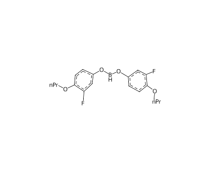 CCCOc1ccc(OBOc2ccc(OCCC)c(F)c2)cc1F